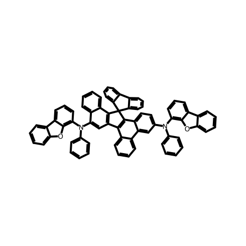 c1ccc(N(c2ccc3c4c(c5ccccc5c3c2)-c2cc(N(c3ccccc3)c3cccc5c3oc3ccccc35)c3ccccc3c2C42c3ccccc3-c3ccccc32)c2cccc3c2oc2ccccc23)cc1